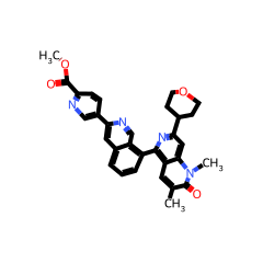 COC(=O)c1ccc(-c2cc3cccc(-c4nc(C5CCOCC5)cc5c4cc(C)c(=O)n5C)c3cn2)cn1